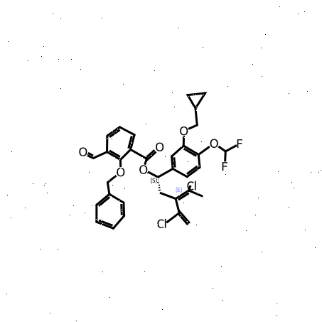 C=C(Cl)/C(C[C@H](OC(=O)c1cccc(C=O)c1OCc1ccccc1)c1ccc(OC(F)F)c(OCC2CC2)c1)=C(\C)Cl